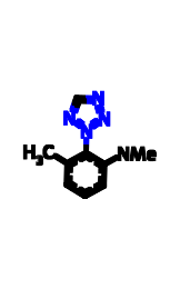 CNc1cccc(C)c1-n1ncnn1